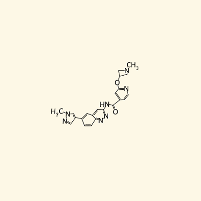 CN1CC(Oc2cc(C(=O)Nc3cc4cc(-c5cnn(C)c5)ccc4nn3)ccn2)C1